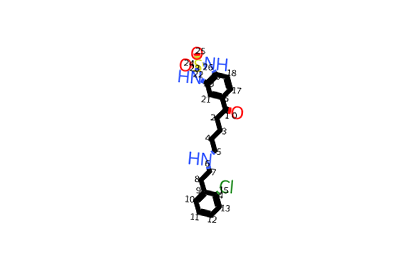 O=C(CCCCNCCc1ccccc1Cl)c1ccc2c(c1)NS(=O)(=O)N2